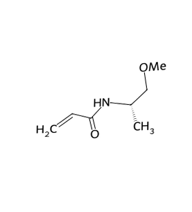 C=CC(=O)N[C@@H](C)COC